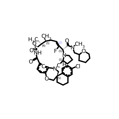 C[C@@H]1[C@@H](C)C/C=C(\F)[C@H](C(=O)N(C)CC2CCCCO2)N2CCC[C@H]2CN2C[C@@]3(CCCc4cc(Cl)ccc43)COc3ccc(cc32)C(=O)NS1(=O)=O